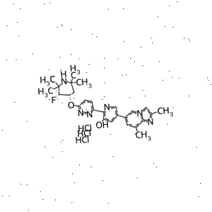 Cc1cn2cc(-c3cnc(-c4ccc(O[C@H]5CC(C)(C)NC(C)(C)[C@H]5F)nn4)c(O)c3)cc(C)c2n1.Cl.Cl.Cl